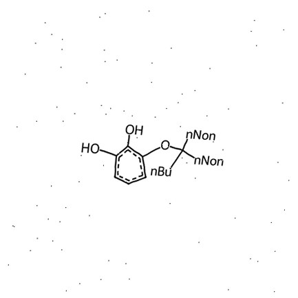 CCCCCCCCCC(CCCC)(CCCCCCCCC)Oc1cccc(O)c1O